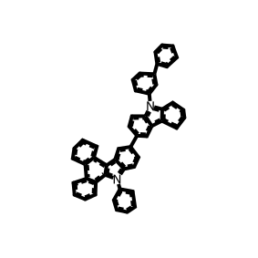 c1ccc(-c2cccc(-n3c4ccccc4c4cc(-c5ccc6c(c5)c5c7ccccc7c7ccccc7c5n6-c5ccccc5)ccc43)c2)cc1